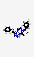 CC1c2nnc(-c3nc4ccccc4s3)n2CCN1C(=O)c1ccc(Cl)cc1